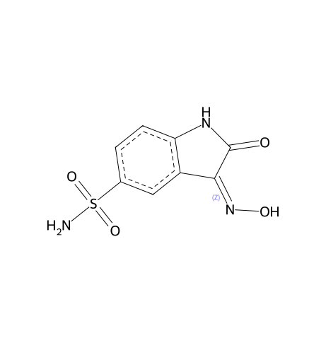 NS(=O)(=O)c1ccc2c(c1)/C(=N/O)C(=O)N2